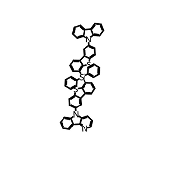 c1ccc([Si](c2ccccc2)(c2cccc3c2sc2ccc(-n4c5ccccc5c5ccccc54)cc23)c2cccc3c2sc2ccc(-n4c5ccccc5c5ncccc54)cc23)cc1